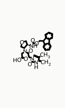 C=C1NC(=O)N(CC(=O)N(CC(=O)O)[C@@H]2COC[C@H]2NC(=O)OCC2c3ccccc3-c3ccccc32)C=C1C